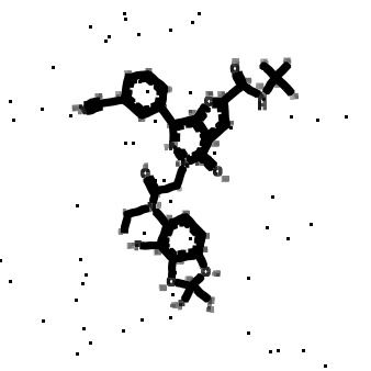 CCN(C(=O)Cn1nc(-c2cccc(C#N)c2)c2oc(C(=O)NC(C)(C)C)cc2c1=O)c1ccc2c(c1F)OC(F)(F)O2